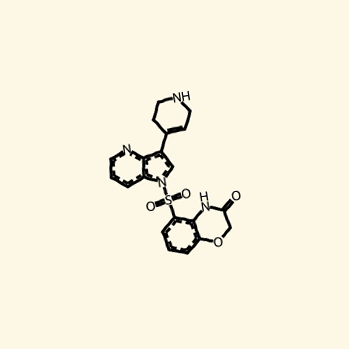 O=C1COc2cccc(S(=O)(=O)n3cc(C4=CCNCC4)c4ncccc43)c2N1